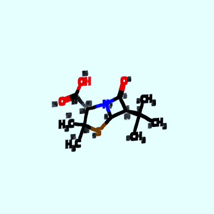 CC(C)(C)[C@@H]1C(=O)N2C1SC(C)(C)[C@@H]2C(=O)O